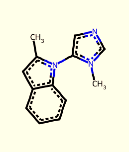 Cc1cc2ccccc2n1-c1cncn1C